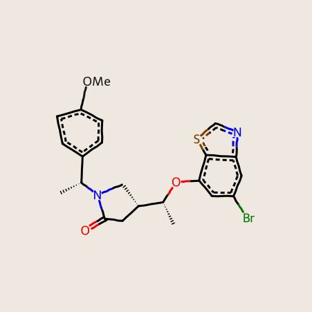 COc1ccc([C@@H](C)N2C[C@H]([C@@H](C)Oc3cc(Br)cc4ncsc34)CC2=O)cc1